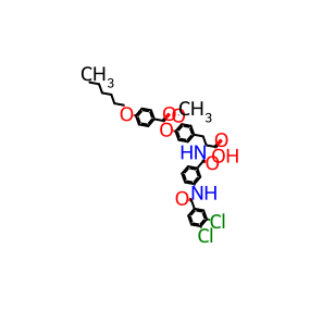 CCCCCCCOc1ccc(C(=O)Oc2ccc(CC(NC(=O)c3cccc(NC(=O)c4ccc(Cl)c(Cl)c4)c3)C(=O)O)cc2OC)cc1